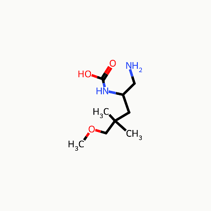 COCC(C)(C)CC(CN)NC(=O)O